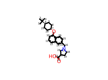 CC(C)(C)[C@H]1CC[C@H](Oc2cccc3cc(CN4CCC(C(=O)O)C4)ccc23)CC1